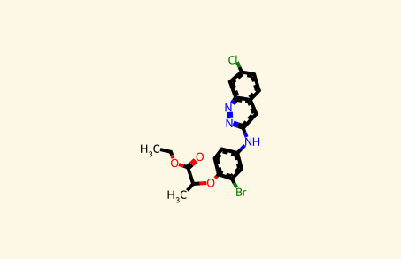 CCOC(=O)C(C)Oc1ccc(Nc2cc3ccc(Cl)cc3nn2)cc1Br